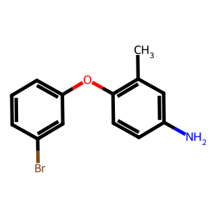 Cc1cc(N)ccc1Oc1cccc(Br)c1